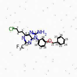 Nc1nc2c(CCCCl)nc(C(F)(F)F)nc2n1-c1cccc(OCc2ccccc2)c1